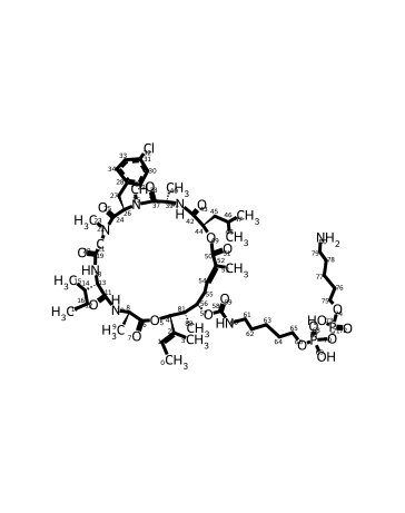 C/C=C(\C)[C@H]1OC(=O)[C@@H](C)NC(=O)[C@H](C(C)CC)NC(=O)CN(C)C(=O)[C@@H](Cc2ccc(Cl)cc2)N(C)C(=O)[C@H](C)NC(=O)[C@@H](CC(C)C)OC(=O)/C(C)=C/C[C@H](OC(=O)NCCCCCOP(=O)(O)OP(=O)(O)OCCCCCN)[C@@H]1C